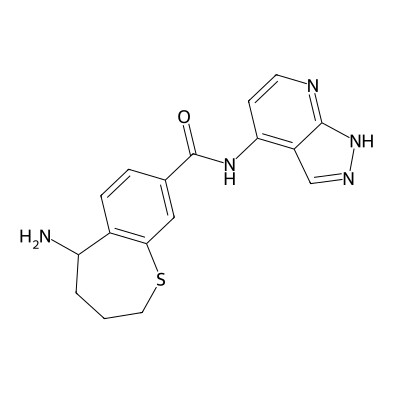 NC1CCCSc2cc(C(=O)Nc3ccnc4[nH]ncc34)ccc21